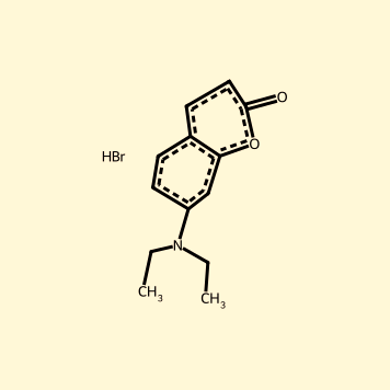 Br.CCN(CC)c1ccc2ccc(=O)oc2c1